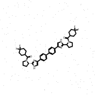 O=C(C1CCC(F)(F)CC1)N1CCCC1c1nc(-c2ccc(-c3ccc(-c4c[nH]c([C@@H]5CCCN5C(=O)C5CCC(F)(F)CC5)n4)cc3)cc2)c[nH]1